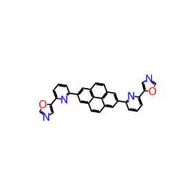 c1cc(-c2cc3ccc4cc(-c5cccc(-c6cnco6)n5)cc5ccc(c2)c3c45)nc(-c2cnco2)c1